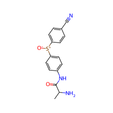 CC(N)C(=O)Nc1ccc([S+]([O-])c2ccc(C#N)cc2)cc1